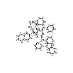 c1ccc(N(c2cc(N(c3ccccc3)c3ccccc3)c3c4ccccc4n(-c4ccc5ccccc5c4)c3c2)c2cccc3c2sc2ccccc23)cc1